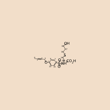 CC#CCOc1ccc(S(=O)(=O)N[C@H](CSCCCO)C(=O)O)cc1